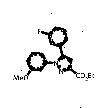 CCOC(=O)c1cc(-c2cccc(F)c2)n(-c2cccc(OC)c2)n1